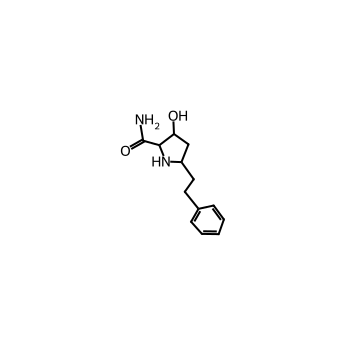 NC(=O)C1NC(CCc2ccccc2)CC1O